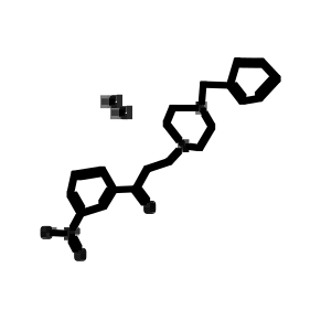 Cl.Cl.O=C(CCN1CCN(Cc2ccccc2)CC1)c1cccc([N+](=O)[O-])c1